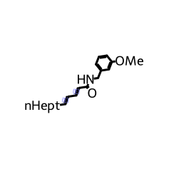 CCCCCCC/C=C/C=C/C(=O)NCc1cccc(OC)c1